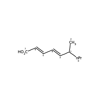 CCCC(C)C=CC=CC(=O)O